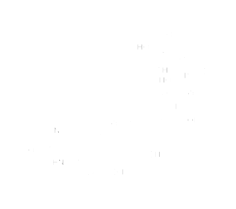 CCCn1cc([C@@H]2O[C@H](COP(=O)(O)OP(=O)(O)OP(=O)(O)O)C(O)[C@@H]2O)c(=O)[nH]c1=O